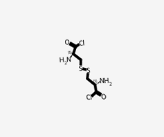 N[C@@H](CSSC[C@H](N)C(=O)Cl)C(=O)Cl